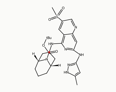 Cc1cc(Nc2cc3ncc(S(C)(=O)=O)cc3c(NC3C[C@H]4CCC[C@@H](C3)N4C(=O)OC(C)(C)C)n2)n[nH]1